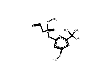 COc1cc(OP(=O)(CC=S)OC)nc(C(C)(C)C)n1